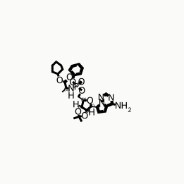 C[C@H](N[P@](=O)(OC[C@H]1O[C@@H](c2ccc3c(N)ncnn23)[C@@H]2OC(C)(C)O[C@@H]21)Oc1ccccc1)C(=O)OC1CCCCC1